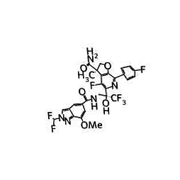 COc1cc(C(=O)NC[C@](O)(c2nc(-c3ccc(F)cc3)c3c(c2F)[C@@](C)(C(N)=O)CO3)C(F)(F)F)cc2cn(C(F)F)nc12